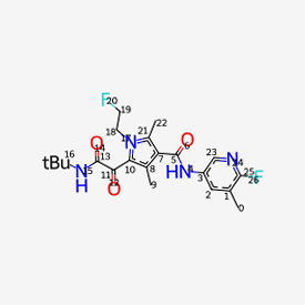 Cc1cc(NC(=O)c2c(C)c(C(=O)C(=O)NC(C)(C)C)n(CCF)c2C)cnc1F